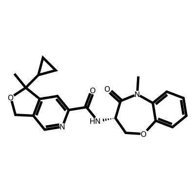 CN1C(=O)[C@@H](NC(=O)c2cc3c(cn2)COC3(C)C2CC2)COc2ccccc21